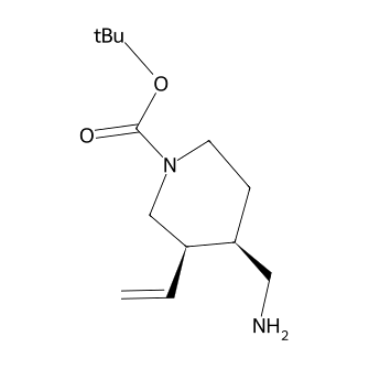 C=C[C@H]1CN(C(=O)OC(C)(C)C)CC[C@H]1CN